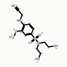 C#CCNc1ccc(S(=O)(=O)N(CCO)CCO)cc1OC